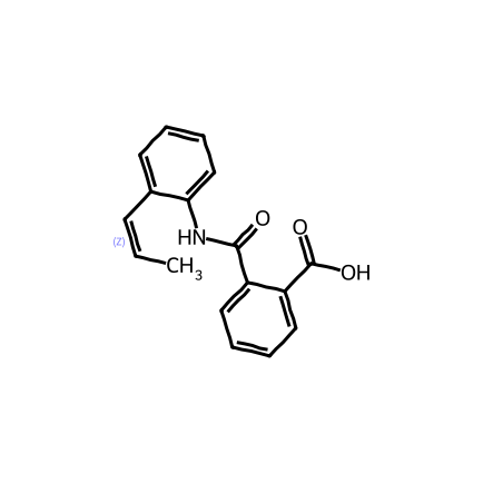 C/C=C\c1ccccc1NC(=O)c1ccccc1C(=O)O